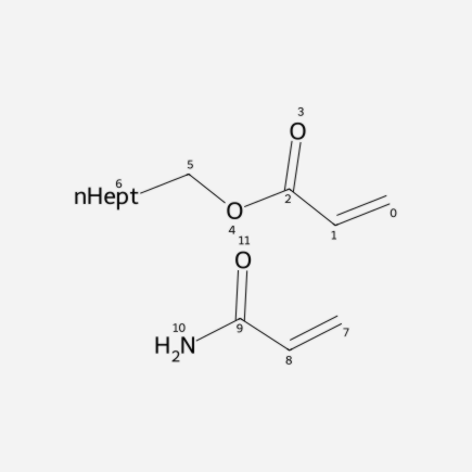 C=CC(=O)OCCCCCCCC.C=CC(N)=O